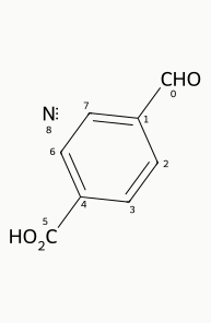 O=Cc1ccc(C(=O)O)cc1.[N]